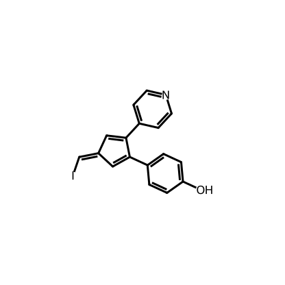 Oc1ccc(C2=C/C(=C\I)C=C2c2ccncc2)cc1